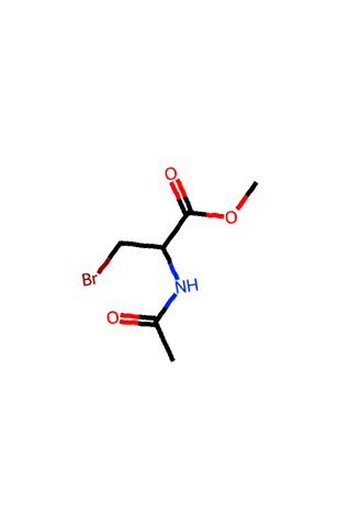 COC(=O)C(CBr)NC(C)=O